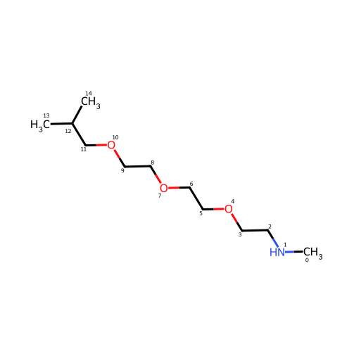 CNCCOCCOCCOCC(C)C